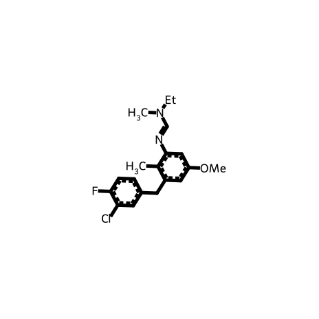 CCN(C)C=Nc1cc(OC)cc(Cc2ccc(F)c(Cl)c2)c1C